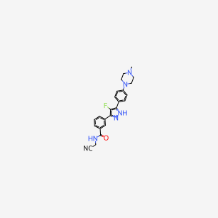 CN1CCN(c2ccc(-c3[nH]nc(-c4cccc(C(=O)NCC#N)c4)c3F)cc2)CC1